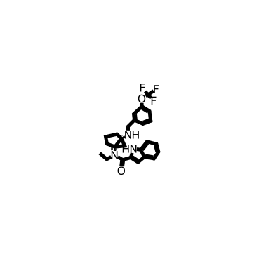 CCN(C(=O)c1cc2ccccc2[nH]1)[C@@]12CCC[C@]1(NCc1cccc(OC(F)(F)F)c1)C2